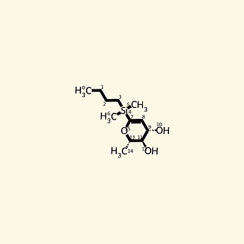 CCCC[Si](C)(C)C1=C[C@H](O)[C@@H](O)[C@H](C)O1